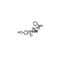 O=C(NNS(=O)(=O)c1n[nH]c2ccccc12)c1ccc(O)cc1